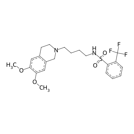 COc1cc2c(cc1OC)CN(CCCCNS(=O)(=O)c1ccccc1C(F)(F)F)CC2